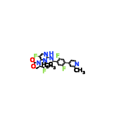 Cc1cc(-c2cc(F)c([C@H](C)Nc3ncc(F)c(N4C(=O)OC[C@@H]4[C@H](C)F)n3)cc2F)ccn1